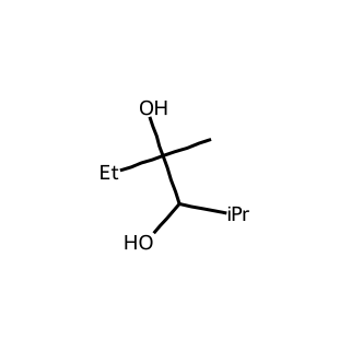 CCC(C)(O)C(O)C(C)C